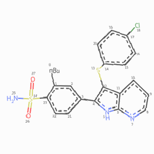 CCCCc1cc(-c2[nH]c3ncccc3c2Sc2ccc(Cl)cc2)ccc1S(N)(=O)=O